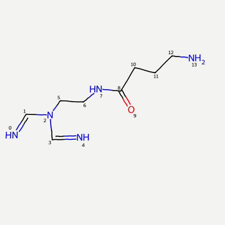 N=CN(C=N)CCNC(=O)CCCN